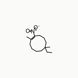 CCC1(C)CCCC/C(C)=C(/[N+](=O)[O-])CCC1